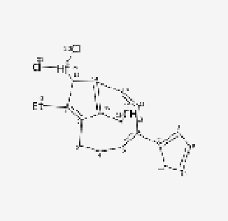 CCC1=C2CCC3=C(C4=CC=CC4)C=CC(=C2C3C)[CH]1[Hf]([Cl])[Cl]